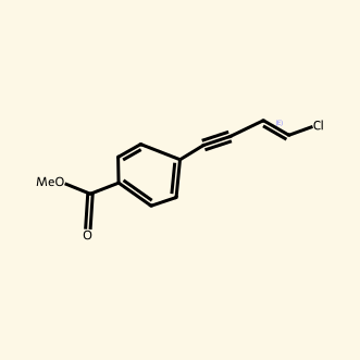 COC(=O)c1ccc(C#C/C=C/Cl)cc1